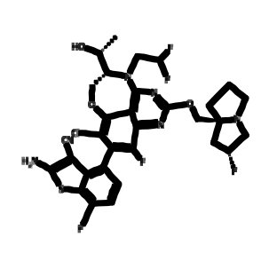 C[C@@H](O)[C@H]1COc2c(Cl)c(-c3ccc(F)c4sc(N)c(C#N)c34)c(F)c3nc(OC[C@@]45CCCN4C[C@H](F)C5)nc(c23)N1CC(F)F